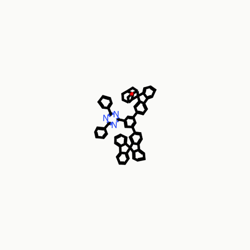 c1ccc(-c2nc(-c3ccccc3)nc(-c3cc(-c4ccc5c(c4)C4(c6ccccc6-c6ccccc64)c4ccccc4-5)cc(-c4ccc5c(c4)C4(c6ccccc6-5)C5CCC6CCC(C5)CC64)c3)n2)cc1